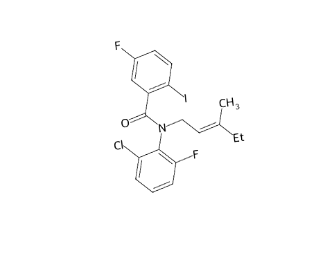 CCC(C)=CCN(C(=O)c1cc(F)ccc1I)c1c(F)cccc1Cl